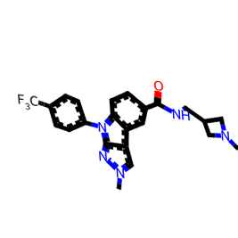 CN1CC(CNC(=O)c2ccc3c(c2)c2cn(C)nc2n3-c2ccc(C(F)(F)F)cc2)C1